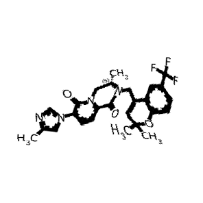 Cc1cn(-c2ccc3n(c2=O)C[C@H](C)N(CC2=CC(C)(C)Oc4ccc(C(F)(F)F)cc42)C3=O)cn1